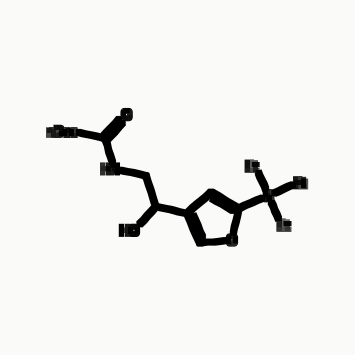 CCCCCCCCCCC(=O)NCC(O)c1coc([Si](CC)(CC)CC)c1